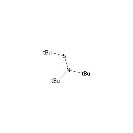 CC(C)(C)SN(C(C)(C)C)C(C)(C)C